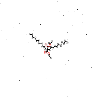 CCCCCCCCCCCC(CCCCCCCCCCC)(C(=O)OCC)C(=O)OCC